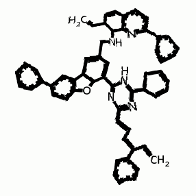 C=C/C(=C\C=C\C1=NC(C2C=CC=CC2)NC(C2=CC(CNC3c4nc(-c5ccccc5)ccc4C=CC3C=C)=CC3c4cc(-c5ccccc5)ccc4OC23)=N1)c1ccccc1